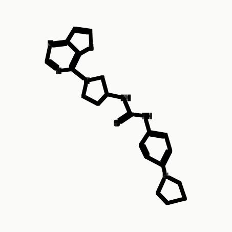 O=C(Nc1ccc(N2CCCC2)cc1)NC1CCN(c2ncnc3ccsc23)C1